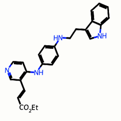 CCOC(=O)/C=C/c1cnccc1Nc1ccc(NCCc2c[nH]c3ccccc23)cc1